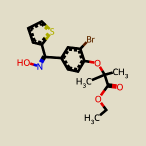 CCOC(=O)C(C)(C)Oc1ccc(C(=NO)c2cccs2)cc1Br